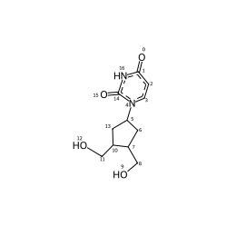 O=c1ccn(C2CC(CO)C(CO)C2)c(=O)[nH]1